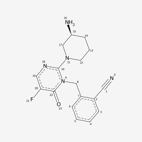 N#Cc1ccccc1Cn1c(N2CCC[C@H](N)C2)ncc(F)c1=O